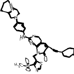 CS(=O)(=O)c1ncsc1Cn1c(=O)c(C#CC2CCCCC2)cc2cnc(Nc3ccc(N4CCN5CCCC5C4)cc3)nc21